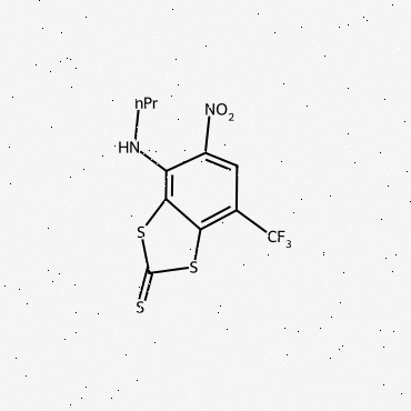 CCCNc1c([N+](=O)[O-])cc(C(F)(F)F)c2sc(=S)sc12